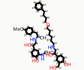 COc1ccc(C[C@@H](C)NC[C@H](O)c2ccc(O)c(NC=O)c2)cc1.OCc1cc(C(O)CNCCCCCCOCCCCc2ccccc2)ccc1O